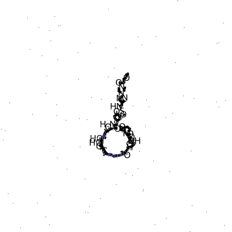 CCOCCC(=O)N1CCN(c2ncc(CNC(=S)O[C@@H]3CC[C@@H](C[C@@H](N)[C@@H]4CC(=O)[C@H](C)/C=C(\C)[C@@H](O)[C@@H](O)C(=O)[C@H](C)C[C@H](C)/C=C/C=C/C=C(\C)[C@@H](OC)C[C@@H]5CC[C@@H](C)[C@@](O)(O5)C(=O)C(=O)N5CCCC[C@H]5C(=O)O4)C[C@H]3OC)cn2)CC1